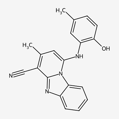 Cc1ccc(O)c(Nc2cc(C)c(C#N)c3nc4ccccc4n23)c1